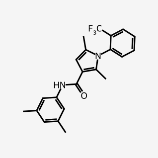 Cc1cc(C)cc(NC(=O)c2cc(C)n(-c3ccccc3C(F)(F)F)c2C)c1